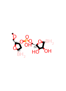 B[C@H]1CC(OP(=O)(O)OC[C@@H]2O[C@H](B)C(O)C2O)[C@@H](COC)O1